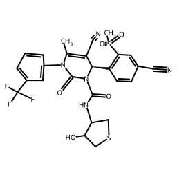 CC1=C(C#N)[C@@H](c2ccc(C#N)cc2S(C)(=O)=O)N(C(=O)NC2CSCC2O)C(=O)N1c1cccc(C(F)(F)F)c1